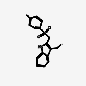 [CH2]Cc1c(CS(=O)(=O)c2ccc(C)cc2)[nH]c2ccccc12